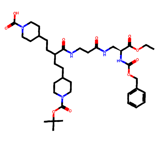 CCOC(=O)[C@H](CNC(=O)CCNC(=O)C(CCC1CCN(C(=O)O)CC1)CCC1CCN(C(=O)OC(C)(C)C)CC1)NC(=O)OCc1ccccc1